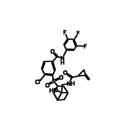 C=C1CC1C(=O)NCC1(O)C2CC1CC(S(=O)(=O)c1cc(C(=O)Nc3cc(F)c(F)c(F)c3)ccc1Cl)C2